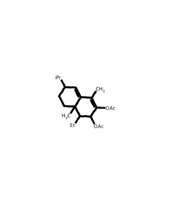 CCC1C(OC(C)=O)C(OC(C)=O)=C(C)C2=CC(C(C)C)CCC21C